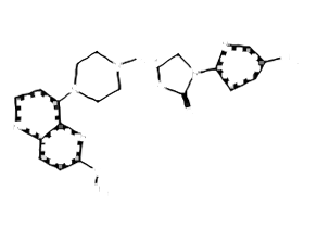 COc1ccc2nccc(N3CCN(C[C@@H]4CN(c5ccc(C)cn5)C(=O)O4)CC3)c2n1